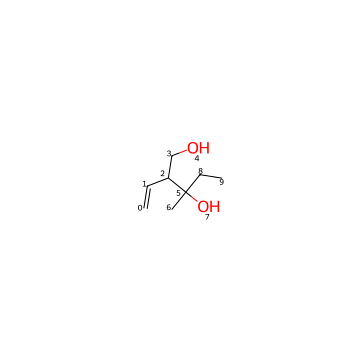 C=CC(CO)C(C)(O)CC